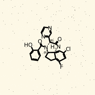 NC(=O)[C@@H](c1cnccn1)N(C(=O)c1ccccc1O)[C@@H]1CCc2c(F)cc(Cl)cc21